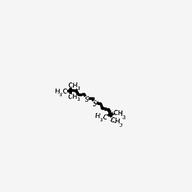 CC(C)(C)CCCSCSCCCC(C)(C)C